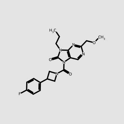 CCCn1c(=O)n(C(=O)N2CC(c3ccc(F)cc3)C2)c2cnc(COC)nc21